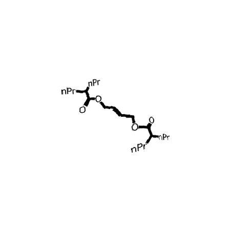 CCCC(CCC)C(=O)OCC=CCOC(=O)C(CCC)CCC